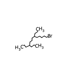 CCCC(CCC)CCCC(CCC)CCCCCBr